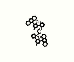 Cc1cc(-c2ccccc2OCCC(C)Oc2ccccc2-c2cc(C)cc(-c3c4c(cc5c3CCCC5)CCCC4)c2O)c(O)c(-c2c3c(cc4c2CCCC4)CCCC3)c1